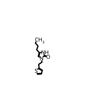 CCCCc1cn(CCc2cccs2)c(=O)[nH]1